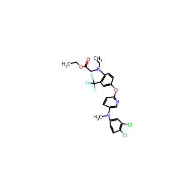 CCOC(=O)CN(CC)c1ccc(Oc2ccc(N(C)c3ccc(Cl)c(Cl)c3)cn2)cc1C(F)(F)F